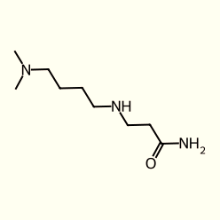 CN(C)CCCCNCCC(N)=O